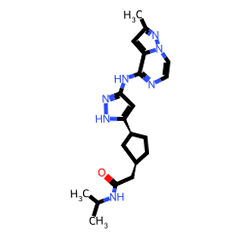 Cc1cc2c(Nc3cc([C@H]4CC[C@@H](CC(=O)NC(C)C)C4)[nH]n3)nccn2n1